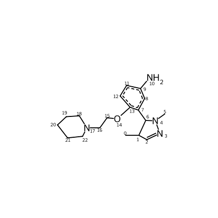 CC1C=NN(C)C1c1cc(N)ccc1OCCN1CCCCC1